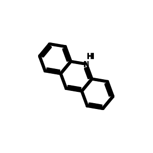 I.c1ccc2nc3ccccc3cc2c1